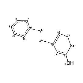 OC1=CC(CCc2ccccc2)=CCC1